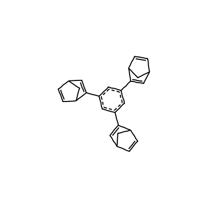 C1=CC2CC1C=C2c1cc(C2=CC3C=CC2C3)cc(C2=CC3C=CC2C3)c1